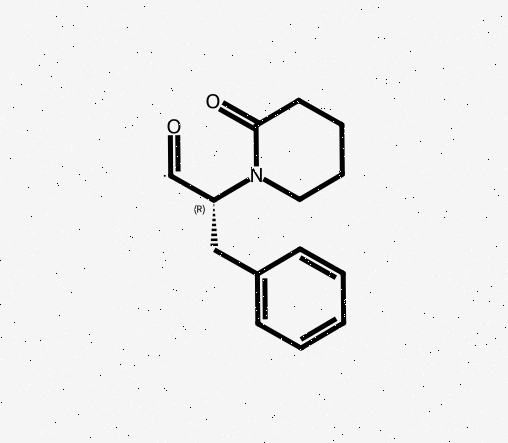 O=[C][C@@H](Cc1ccccc1)N1CCCCC1=O